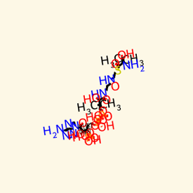 CC(C)(O)C(N)C(=O)SCCNC(=O)CCNC(=O)C(O)C(C)(C)COP(=O)(O)OP(=O)(O)OC[C@H]1O[C@@H](n2cnc3c(N)ncnc32)[C@H](O)[C@@H]1OP(=O)(O)O